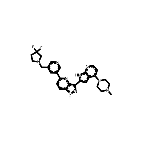 CN1CCN(c2ccnc3[nH]c(-c4n[nH]c5ccc(-c6cncc(CN7CCC(F)(F)C7)c6)nc45)cc23)CC1